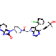 CC(C)(O)C#Cc1ncnc2c1c(-c1ccccc1Cl)cn2CC(=O)N1CCC(n2c(=O)[nH]c3ncccc32)CC1